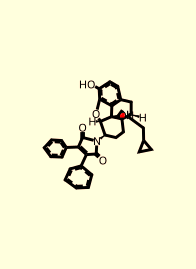 O=C1C(c2ccccc2)=C(c2ccccc2)C(=O)N1[C@@H]1CC[C@@]2(O)[C@H]3Cc4ccc(O)c5c4[C@@]2(CCN3CC2CC2)[C@H]1O5